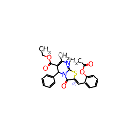 CCOC(=O)C1=C(C)N=c2s/c(=C\c3ccccc3OC(C)=O)c(=O)n2C1c1ccccc1